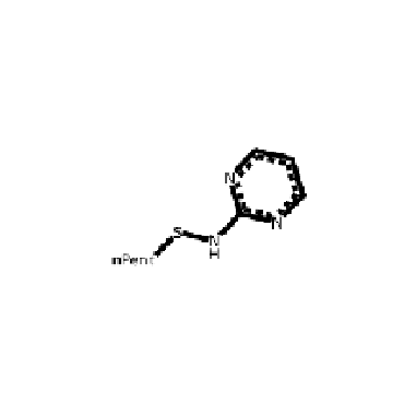 CCCCCSNc1ncccn1